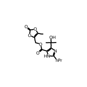 CCCc1nc(C(C)(C)O)c(C(=O)OCc2oc(=O)oc2C)[nH]1